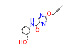 CC#CCOc1cnc(C(=O)Nc2cccc(CO)c2)cn1